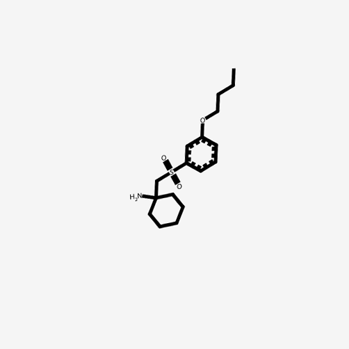 CCCCOc1cccc(S(=O)(=O)CC2(N)CCCCC2)c1